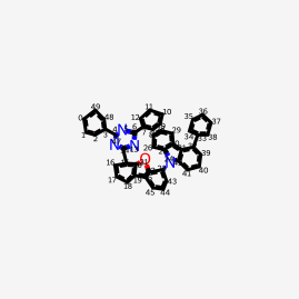 c1ccc(-c2nc(-c3ccccc3)nc(-c3cccc4c3oc3c(-n5c6ccccc6c6c(-c7ccccc7)cccc65)cccc34)n2)cc1